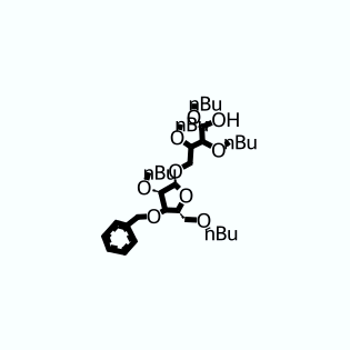 CCCCOC[C@H]1O[C@@H](OCC(OCCCC)C(OCCCC)C(O)OCCCC)[C@@H](OCCCC)C1OCc1ccccc1